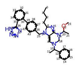 CCCCC1N=C2C(=CN(C(C)c3ccccc3)CN2C(C)OC)N1Cc1ccc(-c2ccccc2-c2nnn[nH]2)cc1